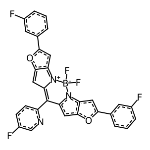 Fc1ccc(C2=C3C=c4oc(-c5cccc(F)c5)cc4=[N+]3[B-](F)(F)n3c2cc2oc(-c4cccc(F)c4)cc23)nc1